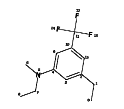 CCc1cc(N(C)CC)cc(C(F)(F)F)c1